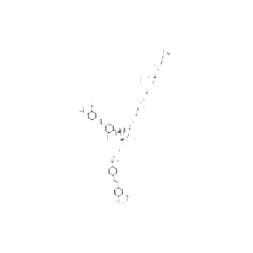 CCCOCCOCCC(=O)NCCCOCCOCCOCCCNC(=O)[C@@H](CCCCNC(=O)c1ccc(/C=C(\C)c2ccc3c(c2)C(C)(C)CCC3(C)C)cc1)NC(=O)c1ccc(/C=C(\C)c2ccc3c(c2)C(C)(C)CCC3(C)C)cc1